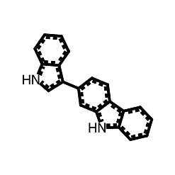 c1ccc2c(-c3ccc4c(c3)[nH]c3ccccc34)c[nH]c2c1